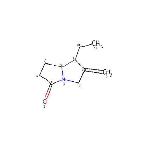 C=C1CN2C(=O)CCC2C1CC